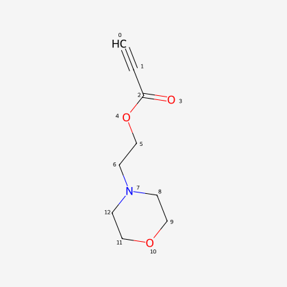 C#CC(=O)OCCN1CCOCC1